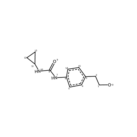 [O]CCc1ccc(NC(=O)NC2CC2)cc1